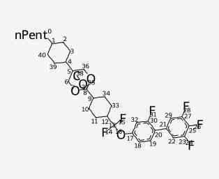 CCCCCC1CCC(C23COC(C4CCC(C(F)(F)Oc5ccc(-c6cc(F)c(F)c(F)c6)c(F)c5)CC4)(OC2)OC3)CC1